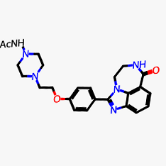 CC(=O)NN1CCN(CCOc2ccc(-c3nc4cccc5c4n3CCNC5=O)cc2)CC1